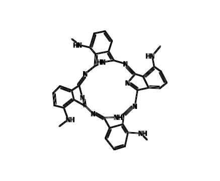 CNc1cccc2c1-c1nc-2nc2[nH]c(nc3nc(nc4[nH]c(n1)c1cccc(NC)c41)-c1cccc(NC)c1-3)c1cccc(NC)c21